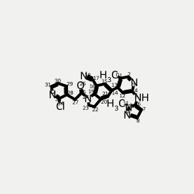 Cc1cnc(Nc2ccnn2C)cc1-c1cc(C#N)c2c(c1)CCN2C(=O)Cc1cccnc1Cl